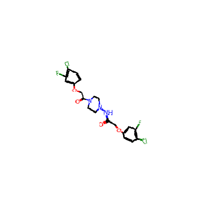 O=C(COc1ccc(Cl)c(F)c1)NN1CCN(C(=O)COc2ccc(Cl)c(F)c2)CC1